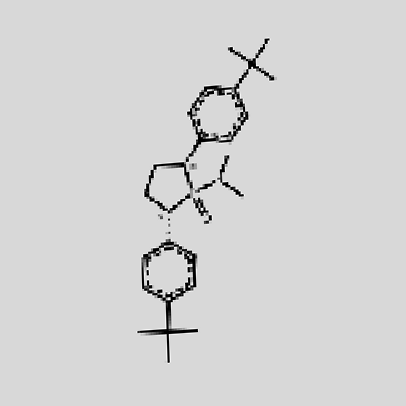 CN(C)P1(=O)[C@H](c2ccc(C(C)(C)C)cc2)CC[C@H]1c1ccc(C(C)(C)C)cc1